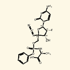 C[C@H](NP(=O)(OC[C@@]1(N=[N+]=[N-])O[C@@H](n2ccc(N)nc2=O)[C@H](F)[C@@H]1O)Oc1ccccc1)C(=O)O